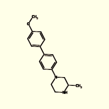 COc1ccc(-c2ccc(N3CCNC(C)C3)cc2)cc1